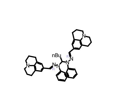 CCCCC(N(/N=C/c1cc2c3c(c1)CCCN3CCC2)c1ccccc1)N(/N=C/c1cc2c3c(c1)CCCN3CCC2)c1ccccc1